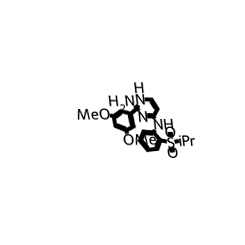 COc1cc(OC)cc(C2(N)N=C(Nc3ccccc3S(=O)(=O)C(C)C)C=CN2)c1